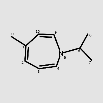 CC1=CC=CN(C(C)C)C=C1